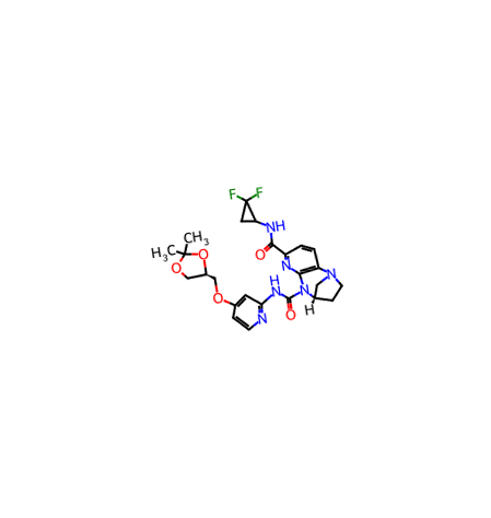 CC1(C)OC[C@H](COc2ccnc(NC(=O)N3c4nc(C(=O)NC5CC5(F)F)ccc4N4CC[C@H]3C4)c2)O1